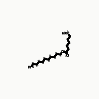 CCCCCCCCCCCCCCCC(=O)OCCCCCCCCCCC(C)C